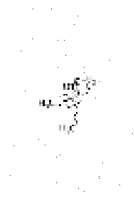 CCCCC(CCCC)(CCCC)C(=O)[O][Ti](=[O])[OH]